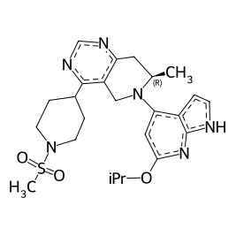 CC(C)Oc1cc(N2Cc3c(ncnc3C3CCN(S(C)(=O)=O)CC3)C[C@H]2C)c2cc[nH]c2n1